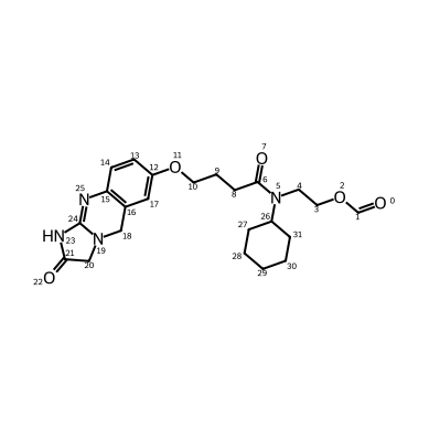 O=COCCN(C(=O)CCCOc1ccc2c(c1)CN1CC(=O)NC1=N2)C1CCCCC1